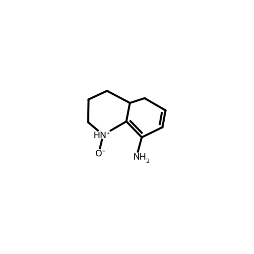 NC1=C2C(CC=C1)CCC[NH+]2[O-]